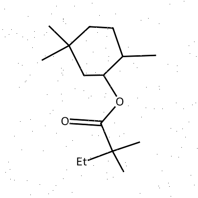 CCC(C)(C)C(=O)OC1CC(C)(C)CCC1C